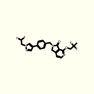 CC(F)(F)COc1nccc2c1C(=O)N(Cc1ccc(-c3cnn(CC(F)F)c3)cc1)C2